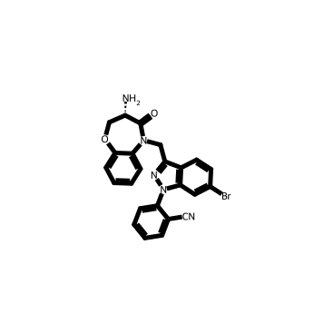 N#Cc1ccccc1-n1nc(CN2C(=O)[C@@H](N)COc3ccccc32)c2ccc(Br)cc21